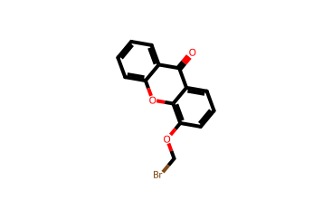 O=c1c2ccccc2oc2c(OCBr)cccc12